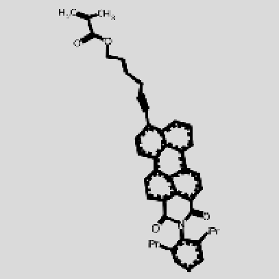 C=C(C)C(=O)OCCCCC#Cc1ccc2c3ccc4c5c(ccc(c6cccc1c62)c53)C(=O)N(c1c(C(C)C)cccc1C(C)C)C4=O